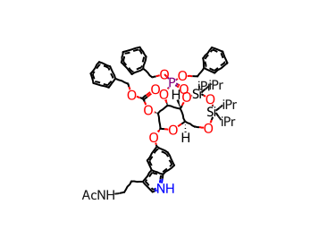 CC(=O)NCCc1c[nH]c2ccc(O[C@@H]3O[C@@H]4CO[Si](C(C)C)(C(C)C)O[Si](C(C)C)(C(C)C)O[C@H]4[C@H](OP(=O)(OCc4ccccc4)OCc4ccccc4)[C@H]3OC(=O)OCc3ccccc3)cc12